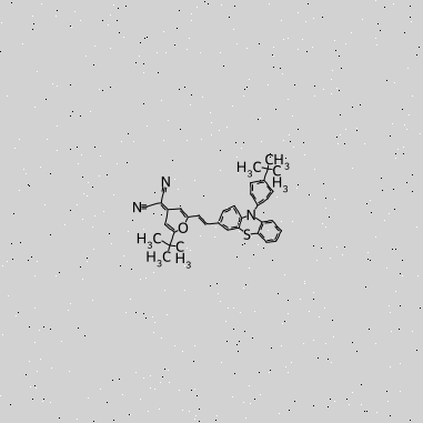 CC(C)(C)C1=CC(=C(C#N)C#N)C=C(/C=C/c2ccc3c(c2)Sc2ccccc2N3c2ccc(C(C)(C)C)cc2)O1